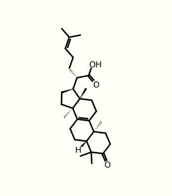 CC(C)=CCC[C@H](C(=O)O)[C@@H]1CC[C@]2(C)C3=C(CC[C@@]12C)[C@@]1(C)CCC(=O)C(C)(C)[C@@H]1CC3